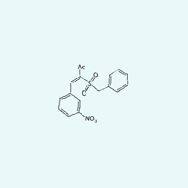 CC(=O)C(=Cc1cccc([N+](=O)[O-])c1)S(=O)(=O)Cc1ccccc1